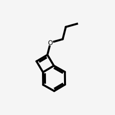 CCCOC1=Cc2ccccc21